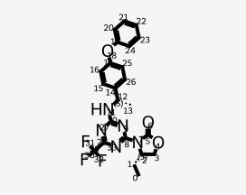 CC[C@H]1COC(=O)N1c1nc(N[C@@H](C)c2ccc(Oc3ccccc3)cc2)nc(C(F)(F)F)n1